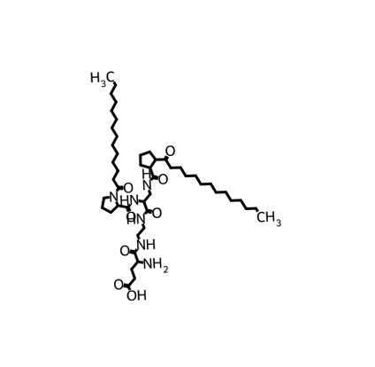 CCCCCCCCCCCCCC(=O)C1CCCC1C(=O)NCC(NC(=O)C1CCCN1C(=O)CCCCCCCCCCCCC)C(=O)NCCNC(=O)C(N)CCC(=O)O